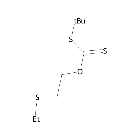 CCSCCOC(=S)SC(C)(C)C